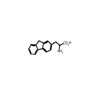 NC(Cc1ccc2c(c1)Cc1ccccc1-2)C(=O)O